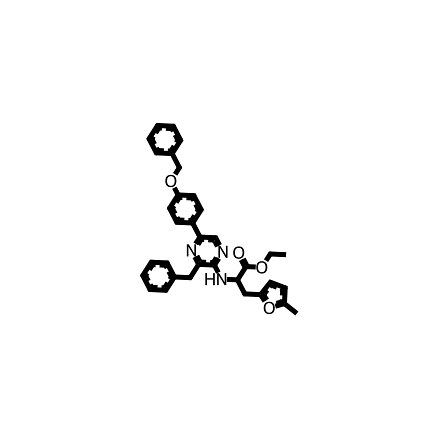 CCOC(=O)C(Cc1ccc(C)o1)Nc1ncc(-c2ccc(OCc3ccccc3)cc2)nc1Cc1ccccc1